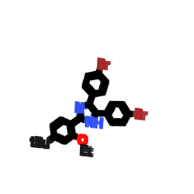 CCOc1cc(C(C)(C)C)ccc1C1=NC(c2ccc(Br)cc2)C(c2ccc(Br)cc2)N1